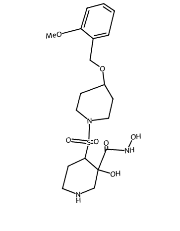 COc1ccccc1COC1CCN(S(=O)(=O)C2CCNCC2(O)C(=O)NO)CC1